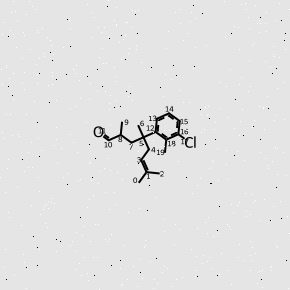 CC(C)=CCC(C)(CC(C)C=O)c1cccc(Cl)c1C